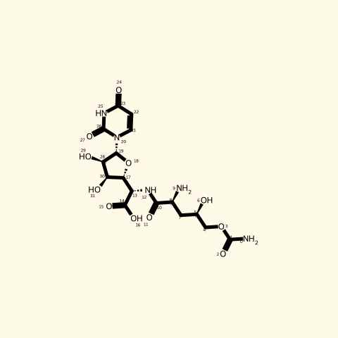 NC(=O)OC[C@H](O)C[C@H](N)C(=O)N[C@H](C(=O)O)[C@H]1O[C@@H](n2ccc(=O)[nH]c2=O)[C@H](O)[C@@H]1O